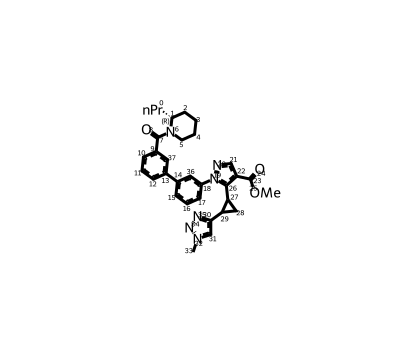 CCC[C@@H]1CCCCN1C(=O)c1cccc(-c2cccc(-n3ncc(C(=O)OC)c3C3CC3c3cn(C)nn3)c2)c1